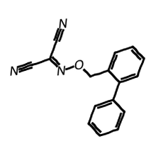 N#CC(C#N)=NOCc1ccccc1-c1ccccc1